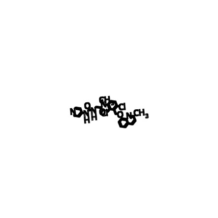 Cc1ccc2cccc(OCc3c(Cl)ccc(N(C)C(=O)CNC(=O)Nc4ccncc4)c3Cl)c2n1